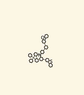 c1ccc(C2(c3ccccc3)c3ccccc3-c3c(N(c4ccc(-c5cccc(-c6ccc7oc8ccccc8c7c6)c5)cc4)c4cccc(-c5ccc6sc7ccccc7c6c5)c4)cccc32)cc1